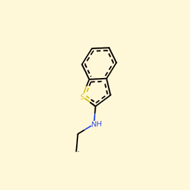 [CH2]CNc1cc2ccccc2s1